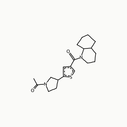 CC(=O)N1CCC(c2cc(C(=O)N3CCCC4CCCCC43)cs2)C1